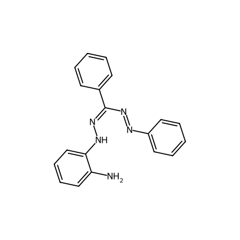 Nc1ccccc1NN=C(N=Nc1ccccc1)c1ccccc1